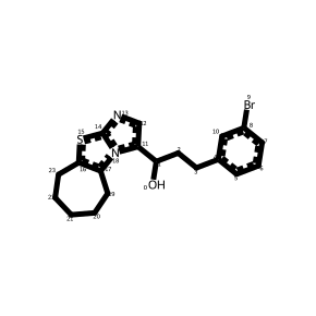 OC(CCc1cccc(Br)c1)c1cnc2sc3c(n12)CCCCC3